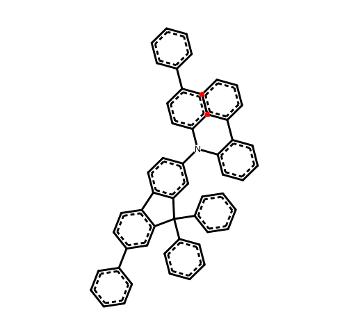 c1ccc(-c2ccc(N(c3ccc4c(c3)C(c3ccccc3)(c3ccccc3)c3cc(-c5ccccc5)ccc3-4)c3ccccc3-c3ccccc3)cc2)cc1